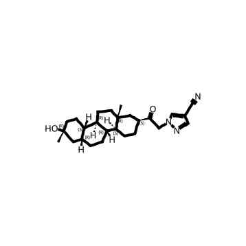 C[C@@]1(O)CC[C@H]2[C@H](CC[C@@H]3[C@@H]2CC[C@]2(C)C[C@@H](C(=O)Cn4cc(C#N)cn4)CC[C@@H]32)C1